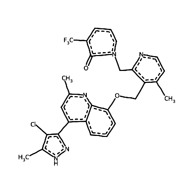 Cc1cc(-c2n[nH]c(C)c2Cl)c2cccc(OCc3c(C)ccnc3Cn3cccc(C(F)(F)F)c3=O)c2n1